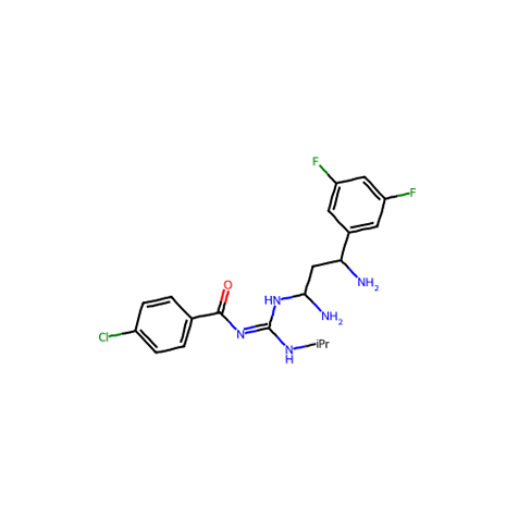 CC(C)N/C(=N/C(=O)c1ccc(Cl)cc1)NC(N)CC(N)c1cc(F)cc(F)c1